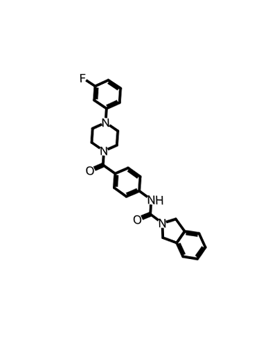 O=C(Nc1ccc(C(=O)N2CCN(c3cccc(F)c3)CC2)cc1)N1Cc2ccccc2C1